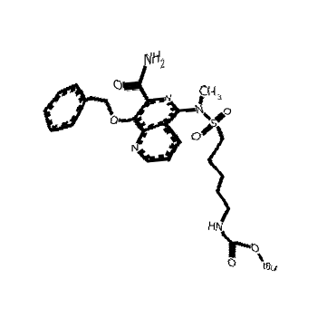 CN(c1nc(C(N)=O)c(OCc2ccccc2)c2ncccc12)S(=O)(=O)CCCCCNC(=O)OC(C)(C)C